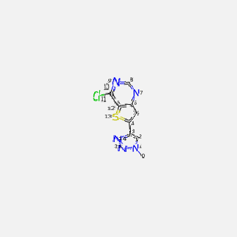 Cn1cc(-c2cc3ncnc(Cl)c3s2)nn1